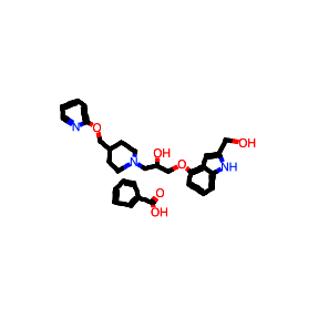 O=C(O)c1ccccc1.OCc1cc2c(OCC(O)CN3CCC(COc4ccccn4)CC3)cccc2[nH]1